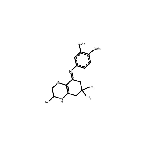 COc1ccc(/N=C2\CC(C)(C)CC3=C2SCC(C(C)=O)N3)cc1OC